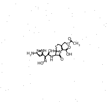 CC(=O)OCC1=C(C(=O)O)N2C(=O)C(NC(=O)C(=NO)c3cc(N)n[nH]3)[C@@H]2SC1